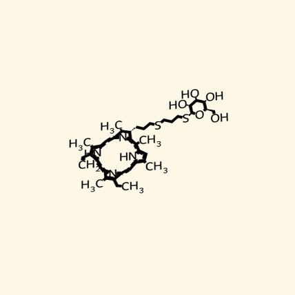 C=Cc1c(C)c2cc3nc(c(C)c4cc(C)c(cc5nc(cc1[nH]2)C(C)=C5CC)[nH]4)[C@@H](CCCSCCCS[C@@H]1O[C@H](CO)[C@@H](O)[C@H](O)[C@H]1O)[C@@H]3C